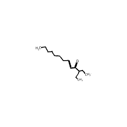 [CH2]CC(CC)C(=O)/C=C/CCCCCCC